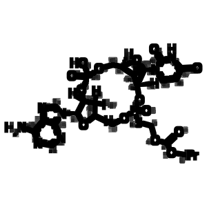 CC(C)OC(=O)OCSP1(=O)OC[C@H]2O[C@@H](n3cnc4c(N)ncnc43)[C@H](OP(=O)(O)OC[C@H]3O[C@@H](n4ccc(=O)[nH]c4=O)[C@H](O1)[C@@H]3F)[C@@H]2F